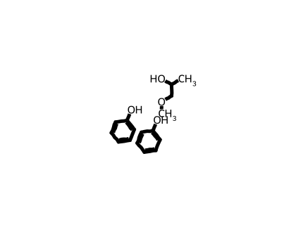 COCC(C)O.Oc1ccccc1.Oc1ccccc1